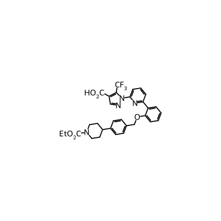 CCOC(=O)N1CCC(c2ccc(COc3ccccc3-c3cccc(-n4ncc(C(=O)O)c4C(F)(F)F)n3)cc2)CC1